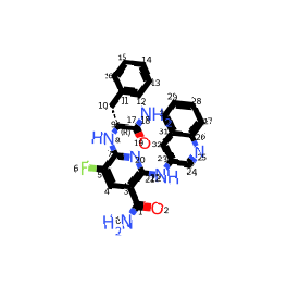 NC(=O)c1cc(F)c(N[C@H](Cc2ccccc2)C(N)=O)nc1Nc1cnc2ccccc2c1